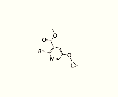 COC(=O)c1cc(OC2CC2)cnc1Br